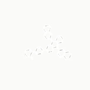 Cc1cnccc1-c1ccc(-c2ccc3c(-c4ccc5ccccc5c4)c4ccccc4c(-c4ccc5ccccc5c4)c3c2)cc1